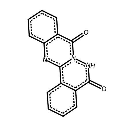 O=c1[nH]n2c(=O)c3ccccc3nc2c2ccccc12